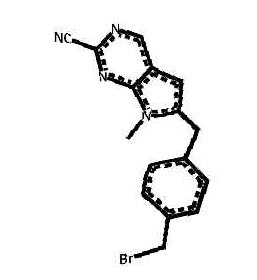 Cn1c(Cc2ccc(CBr)cc2)cc2cnc(C#N)nc21